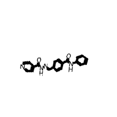 O=C(NN=Cc1ccc(C(=O)Nc2ccccc2)cc1)c1ccncc1